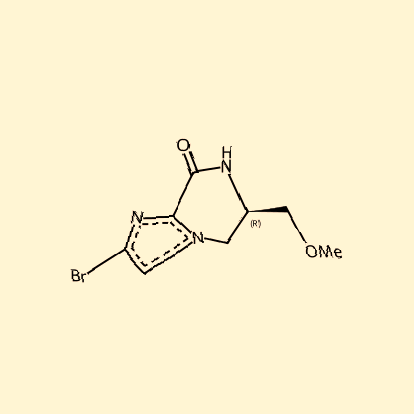 COC[C@H]1Cn2cc(Br)nc2C(=O)N1